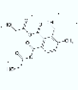 CCc1c(C)ccc(C(=O)OC(=O)CO)c1C(=O)OC(=O)CO